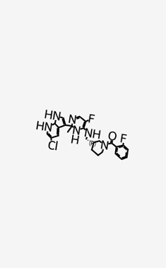 CC1(C2=CNC3NC=C(Cl)C=C23)N=CC(F)=C(NC[C@H]2CCCN(C(=O)c3ccccc3F)C2)N1